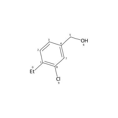 CCc1ccc(CO)cc1Cl